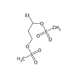 CCC(CCOS(C)(=O)=O)OS(C)(=O)=O